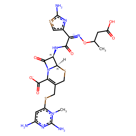 CC(CC(=O)O)O/N=C(\C(=O)N[C@@H]1C(=O)N2C(C(=O)[O-])=C(CSc3cc(N)nc(N)[n+]3C)CS[C@H]12)c1csc(N)n1